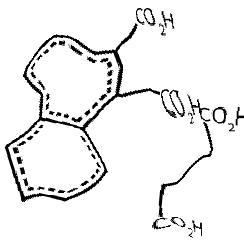 O=C(O)CCC(=O)O.O=C(O)c1ccc2ccccc2c1C(=O)O